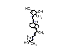 C=C1/C(=C\C=C2/CCC[C@]3(C)[C@@H]([C@H](C)/C=C/C=C/C(C)(C)O)CC[C@@H]23)C[C@@H](O)C[C@@H]1O